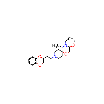 CCN1C(=O)COC2(CCN(CCC3COc4ccccc4O3)CC2)C1C